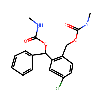 CNC(=O)OCc1ccc(Cl)cc1C(OC(=O)NC)c1ccccc1